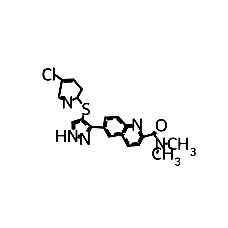 CN(C)C(=O)c1ccc2cc(-c3n[nH]cc3SC3CC=C(Cl)C=N3)ccc2n1